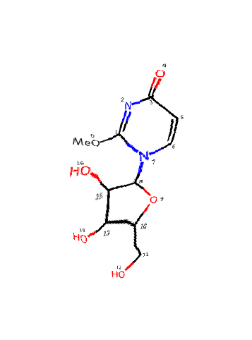 COc1nc(=O)ccn1C1OC(CO)C(O)C1O